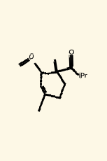 C=O.CC1=CC(C)C(C)(C(=O)C(C)C)CC1